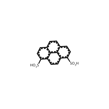 O=S(=O)(O)c1ccc2ccc3ccc(S(=O)(=O)O)c4ccc1c2c34